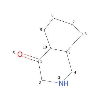 O=C1CNCC2CCCCC12